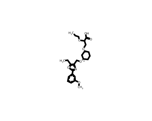 CCCOC(CO[C@@H]1CCC[C@H](OCc2nc(-c3cccc(OC)c3)oc2CC)C1)C(=O)O